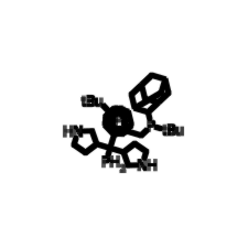 CC(C)(C)P(C[C]12[CH]3[C]4(C(C)(C)C)[CH]5[C]1(C(P)(C1CCNC1)C1CCNC1)[Fe]35241678[CH]2[CH]1[CH]6[CH]7[CH]28)C1C2CC3CC(C2)CC1C3